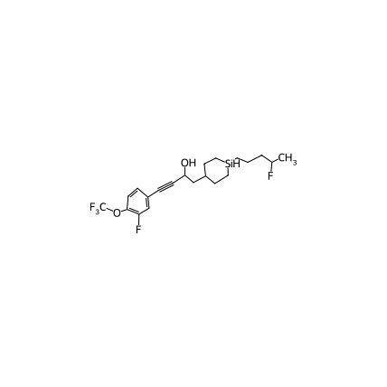 CC(F)CCC[SiH]1CCC(CC(O)C#Cc2ccc(OC(F)(F)F)c(F)c2)CC1